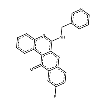 O=c1c2cc(F)ccc2sc2c(NCc3cccnc3)nc3ccccc3c12